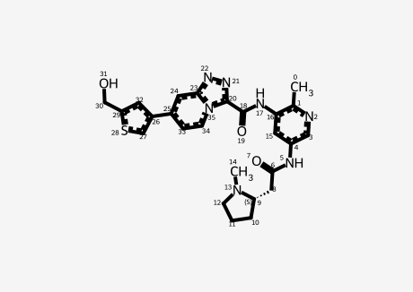 Cc1ncc(NC(=O)C[C@@H]2CCCN2C)cc1NC(=O)c1nnc2cc(-c3csc(CO)c3)ccn12